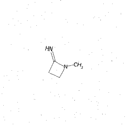 CN1CCC1=N